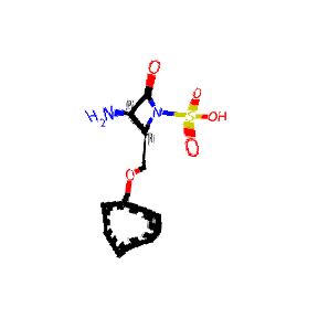 N[C@H]1C(=O)N(S(=O)(=O)O)[C@H]1COc1ccccc1